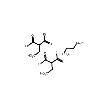 CCC(=O)C(CC(=O)O)C(=O)CC.CCC(=O)C(CC(=O)O)C(=O)CC.O=C(O)CCC(=O)O